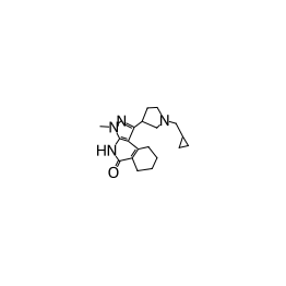 Cn1nc(C2CCN(CC3CC3)C2)c2c3c(c(=O)[nH]c21)CCCC3